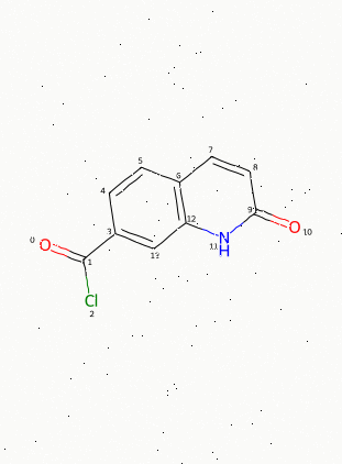 O=C(Cl)c1ccc2ccc(=O)[nH]c2c1